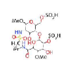 CO[C@@H]1C(C(=O)NC(C)C)O[C@@H](O[C@H]2C(COS(=O)(=O)O)O[C@H](OC)[C@@H](NS(C)(=O)=O)C2O)[C@@H](OS(=O)(=O)O)C1O